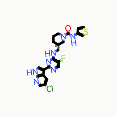 O=C(Nc1ccsc1)N1CCC[C@H](CNc2nc(-c3c[nH]c4ncc(Cl)cc34)ncc2F)C1